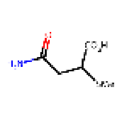 CSC(CC(N)=O)C(=O)O